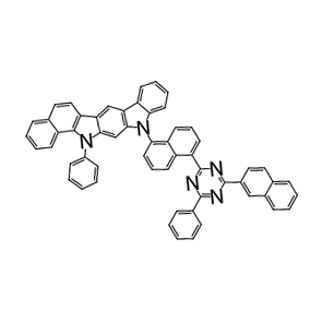 c1ccc(-c2nc(-c3ccc4ccccc4c3)nc(-c3cccc4c(-n5c6ccccc6c6cc7c8ccc9ccccc9c8n(-c8ccccc8)c7cc65)cccc34)n2)cc1